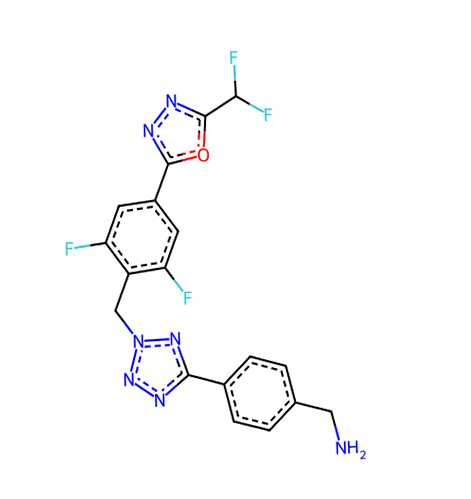 NCc1ccc(-c2nnn(Cc3c(F)cc(-c4nnc(C(F)F)o4)cc3F)n2)cc1